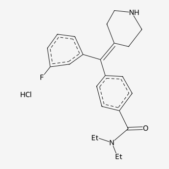 CCN(CC)C(=O)c1ccc(C(=C2CCNCC2)c2cccc(F)c2)cc1.Cl